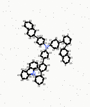 c1ccc(-c2ccc3ccccc3c2)c(-c2ccc(N(c3ccc(-c4ccc(-c5ccccc5-n5c6ccccc6c6ccccc65)cc4)cc3)c3ccc(-c4ccc5ccccc5c4)cc3)cc2)c1